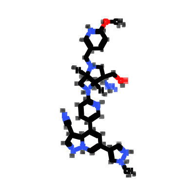 COc1ccc(CN2C[C@@](N)(CO)[C@H]3[C@@H]2CN3c2ccc(-c3cc(-c4cnn(C)c4)cn4ncc(C#N)c34)cn2)cn1